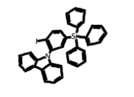 Ic1ccc([Si](c2ccccc2)(c2ccccc2)c2ccccc2)cc1-n1c2ccccc2c2ccccc21